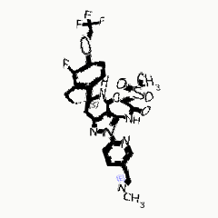 C/N=C/c1ccc(-n2nc3c(c2NC(=O)CS(C)(=O)=O)C(=O)N[C@@]2(CCc4c2ccc(OCC(F)(F)F)c4F)C3)nc1